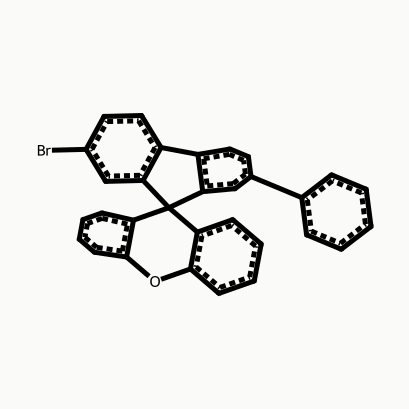 Brc1ccc2c(c1)C1(c3ccccc3Oc3ccccc31)c1cc(-c3ccccc3)ccc1-2